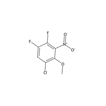 COc1c(Cl)cc(F)c(F)c1[N+](=O)[O-]